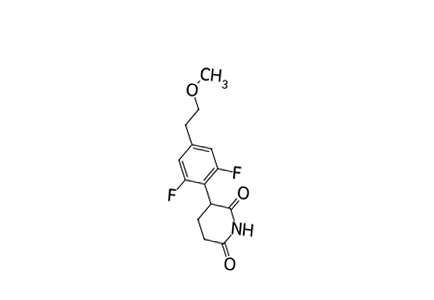 COCCc1cc(F)c(C2CCC(=O)NC2=O)c(F)c1